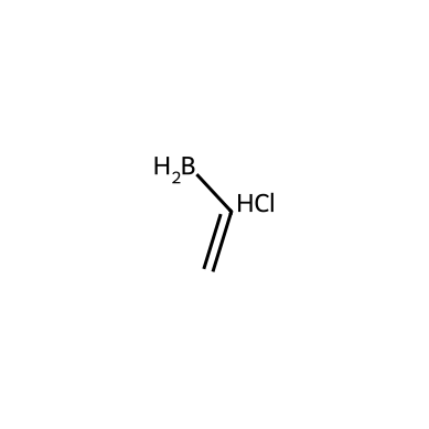 BC=C.Cl